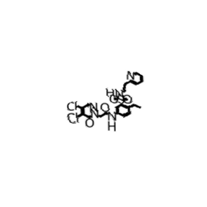 CCc1ccc(NC(=O)Cn2ncc(Cl)c(Cl)c2=O)cc1S(=O)(=O)NCCc1ccccn1